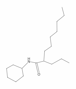 CCCCCCCC(CCC)C(=O)NC1CCCCC1